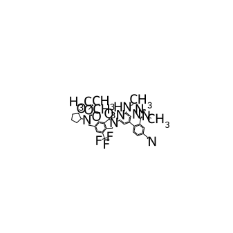 CCNc1cc(-c2ccc(C#N)cc2-c2nncn2C)cc(N2Cc3c(cc(CN(C(=O)OC(C)(C)C)C4CCCC4=O)cc3C(F)(F)F)C2=O)n1